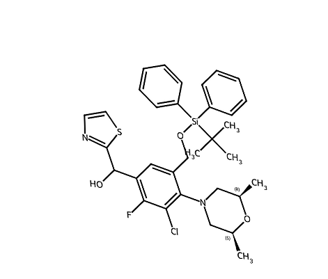 C[C@@H]1CN(c2c(CO[Si](c3ccccc3)(c3ccccc3)C(C)(C)C)cc(C(O)c3nccs3)c(F)c2Cl)C[C@H](C)O1